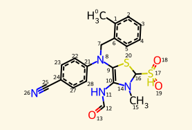 Cc1ccccc1CN(C1=C(NC=O)N(C)C([SH](=O)=O)S1)c1ccc(C#N)cc1